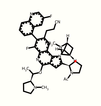 CC(=O)N1CCC[C@@H]1c1cc2c(OC(C)[C@@H]3CCCN3C)nc3c(F)c(-c4cccc5ncc(F)cc45)c(CCC#N)cc3c2n1[C@H]1[C@@H]2C[C@H]1N(C(=O)O)C2